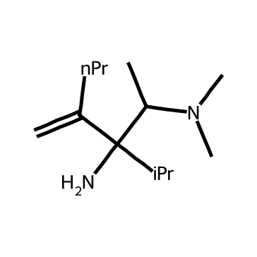 C=C(CCC)C(N)(C(C)C)C(C)N(C)C